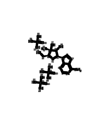 Nc1ncnc2c1ncn2[C@@H]1O[C@H](CO)[C@@](N)(O)[C@H]1O.O=P(O)(O)O.O=P(O)(O)O.O=P(O)(O)O